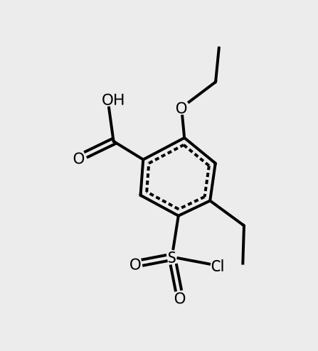 CCOc1cc(CC)c(S(=O)(=O)Cl)cc1C(=O)O